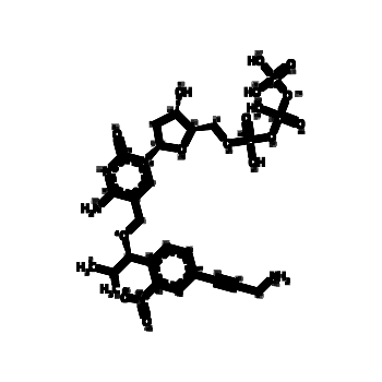 CC(C)[C@@H](OCc1cn([C@H]2C[C@H](O)[C@@H](COP(=O)(O)OP(=O)(O)OP(=O)(O)O)O2)c(=O)nc1N)c1ccc(C#CCN)cc1[N+](=O)[O-]